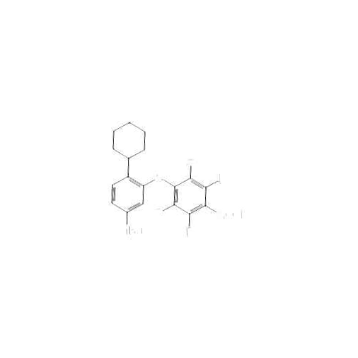 CCC(C)c1ccc(C2CCCCC2)c(Sc2c(F)c(F)c(S(=O)(=O)O)c(F)c2F)c1